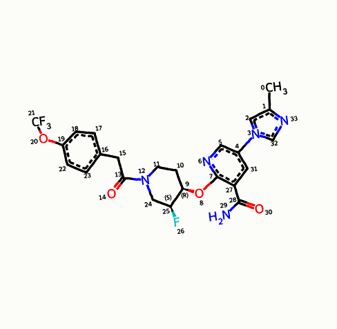 Cc1cn(-c2cnc(O[C@@H]3CCN(C(=O)Cc4ccc(OC(F)(F)F)cc4)C[C@@H]3F)c(C(N)=O)c2)cn1